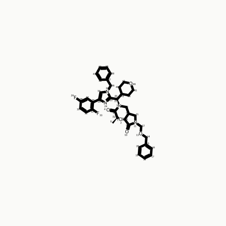 C[C@H](O)C(=O)N(CC1CC(=O)N(COCc2ccccc2)C1)[C@@H](c1nc(-c2cc(F)ccc2F)cn1Cc1ccccc1)C1CCOCC1